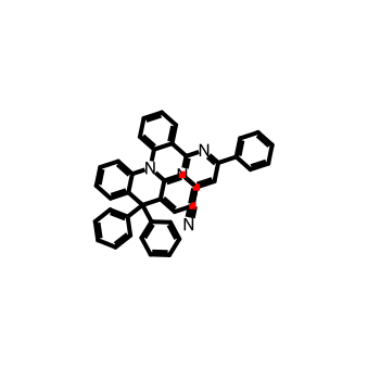 N#Cc1cc(-c2ccccc2)nc(-c2ccccc2N2c3ccccc3C(c3ccccc3)(c3ccccc3)c3ccccc32)n1